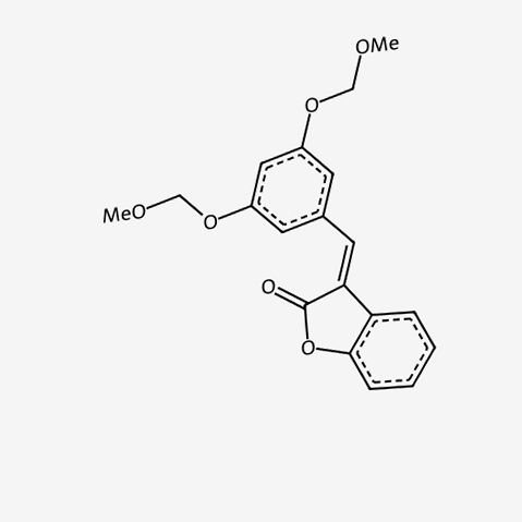 COCOc1cc(C=C2C(=O)Oc3ccccc32)cc(OCOC)c1